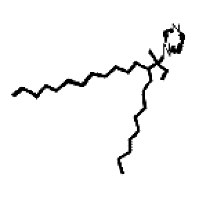 CCCCCCCCCCCCC(CCCCCCCCC)C(C)(CC)n1ccnc1